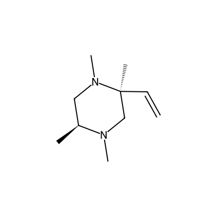 C=C[C@@]1(C)CN(C)[C@@H](C)CN1C